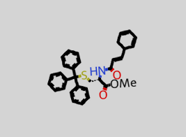 COC(=O)[C@H](CSC(c1ccccc1)(c1ccccc1)c1ccccc1)NC(=O)C=CC1C=CC=CC1